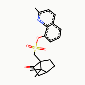 Cc1ccc2cccc(OS(=O)(=O)CC34CCC(CC3=O)C4(C)C)c2n1